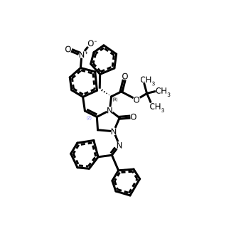 CC(C)(C)OC(=O)[C@@H](Cc1ccccc1)N1C(=O)N(N=C(c2ccccc2)c2ccccc2)C/C1=C/c1ccc([N+](=O)[O-])cc1